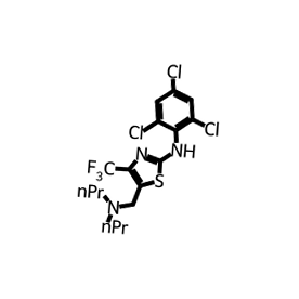 CCCN(CCC)Cc1sc(Nc2c(Cl)cc(Cl)cc2Cl)nc1C(F)(F)F